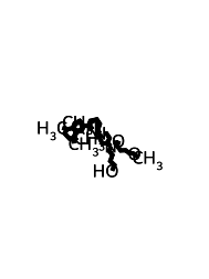 COCCCC(=O)N(CCCCO)C1CCN(c2cccc(-c3ccc4c(c3)C(C)(C)CCC4(C)C)n2)CC1